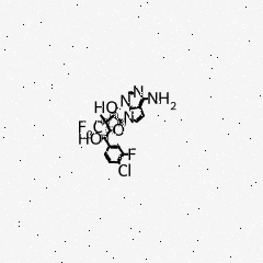 C[C@]1(C(F)(F)F)[C@@H]([C@H](O)c2ccc(Cl)c(F)c2)O[C@@H](n2ccc3c(N)ncnc32)[C@@H]1O